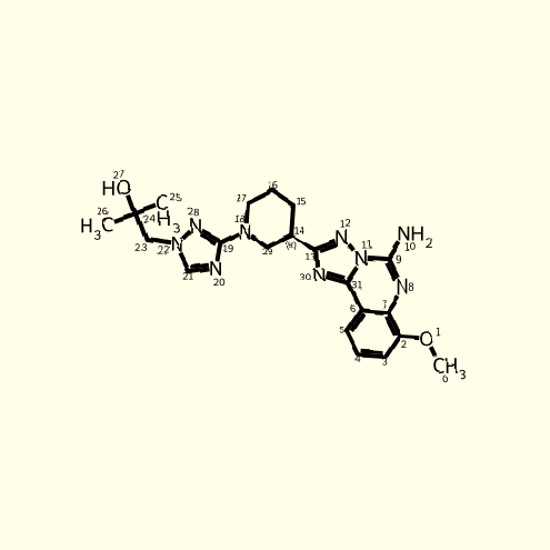 COc1cccc2c1nc(N)n1nc([C@@H]3CCCN(c4ncn(CC(C)(C)O)n4)C3)nc21